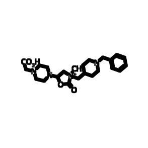 C[N+]1(CC2CCN(Cc3ccccc3)CC2)CC(N2CCN(CC(=O)O)CC2)OC1=O